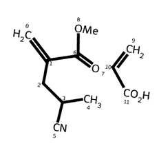 C=C(CC(C)C#N)C(=O)OC.C=CC(=O)O